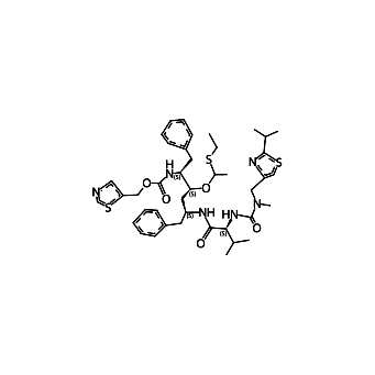 CCSC(C)O[C@@H](C[C@H](Cc1ccccc1)NC(=O)[C@@H](NC(=O)N(C)Cc1csc(C(C)C)n1)C(C)C)[C@H](Cc1ccccc1)NC(=O)OCc1cncs1